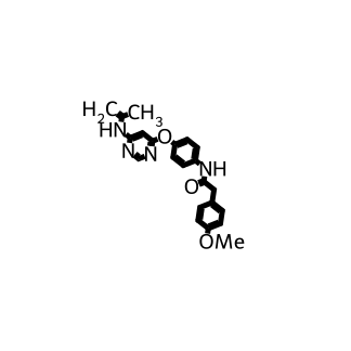 C=C(C)Nc1cc(Oc2ccc(NC(=O)Cc3ccc(OC)cc3)cc2)ncn1